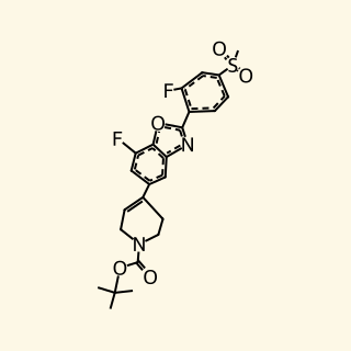 CC(C)(C)OC(=O)N1CC=C(c2cc(F)c3oc(-c4ccc(S(C)(=O)=O)cc4F)nc3c2)CC1